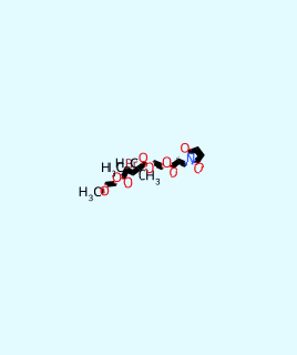 COCCOC(=O)C(C)(Br)CC(C)(C)C(=O)OCCOC(=O)CCN1C(=O)C=CC1=O